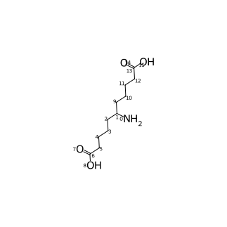 NC(CCCCC(=O)O)CCCCC(=O)O